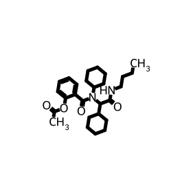 CCCCNC(=O)C(C1CCCCC1)N(C(=O)c1ccccc1OC(C)=O)C1CCCCC1